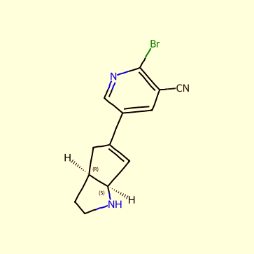 N#Cc1cc(C2=C[C@H]3NCC[C@H]3C2)cnc1Br